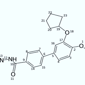 COc1ccc(-c2ccc(C(=O)NN)cc2)cc1OC1CCCC1